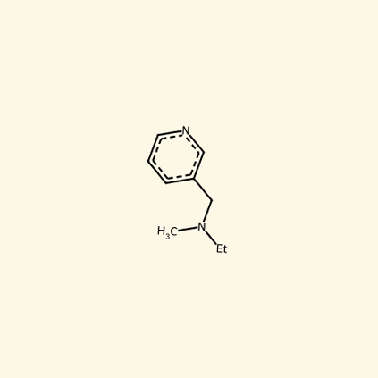 CCN(C)Cc1cccnc1